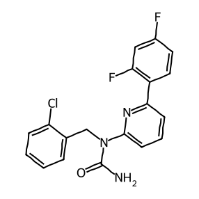 NC(=O)N(Cc1ccccc1Cl)c1cccc(-c2ccc(F)cc2F)n1